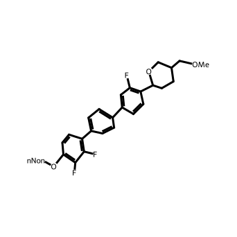 CCCCCCCCCOc1ccc(-c2ccc(-c3ccc(C4CCC(COC)CO4)c(F)c3)cc2)c(F)c1F